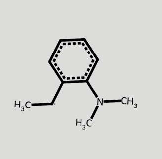 C[CH]c1ccccc1N(C)C